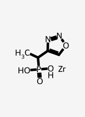 CC(c1conn1)P(=O)(O)O.[Zr]